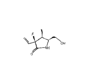 C=C[C@@]1(F)C(=O)N[C@H](CO)[C@@H]1C